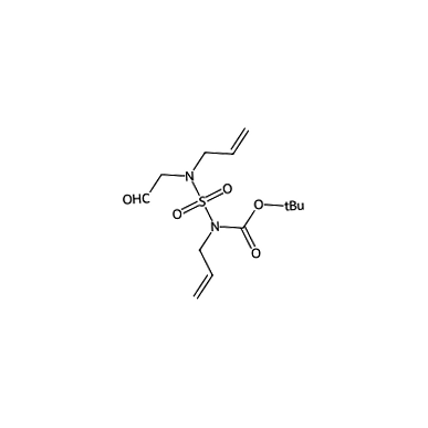 C=CCN(CC=O)S(=O)(=O)N(CC=C)C(=O)OC(C)(C)C